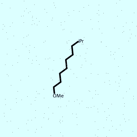 COCCCCCCCC(C)C